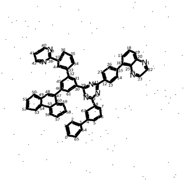 c1ccc(-c2cccc(-c3nc(-c4ccc(-c5cccc6nccnc56)cc4)nc(-c4cc(-c5cccc(-c6ncccn6)c5)cc(-c5cc6ccccc6c6ccccc56)c4)n3)c2)cc1